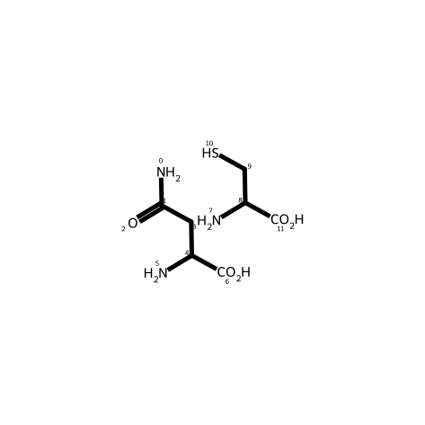 NC(=O)CC(N)C(=O)O.NC(CS)C(=O)O